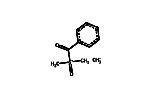 C[S+](C)(=O)C(=O)c1ccccc1.[CH3-]